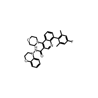 Cc1cc(F)cc(C)c1-c1cccc2c(N3CCOCC3)c(C(=O)NN3CCOc4ccccc43)cnc12